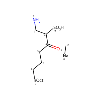 CCCCCCCCCCCC(=O)C(CN)S(=O)(=O)O.[CH3][Na]